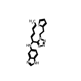 C/C=C/C=C/C(Nc1ccc2[nH]cnc2c1)c1nnnn1CCc1cccs1